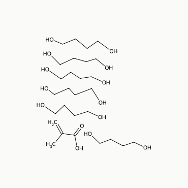 C=C(C)C(=O)O.OCCCCO.OCCCCO.OCCCCO.OCCCCO.OCCCCO.OCCCCO